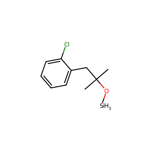 CC(C)(Cc1ccccc1Cl)O[SiH3]